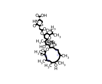 CO/C1=C\C(C)=C\[C@@H](C)[C@@H](O)[C@@H](C)C/C(C)=C/C=C/[C@H](OC)[C@@H]([C@@H](C)[C@@H](O)[C@H](C)[C@@]2(O)C[C@@H](OC(=O)C[C@@H]3SC[C@@H](C(=O)O)NC3=O)[C@H](C)C(C(C)C)O2)OC1=O